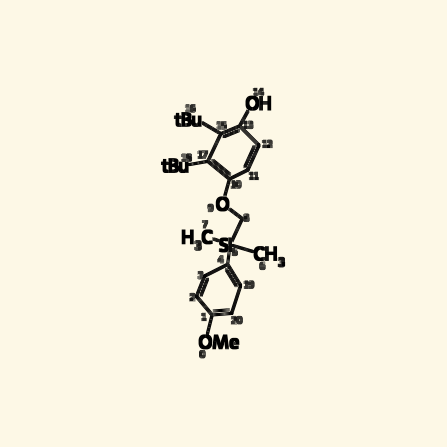 COc1ccc([Si](C)(C)COc2ccc(O)c(C(C)(C)C)c2C(C)(C)C)cc1